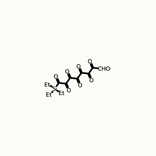 CC[Si](CC)(CC)C(=O)C(=O)C(=O)C(=O)C(=O)C(=O)C(=O)[C]=O